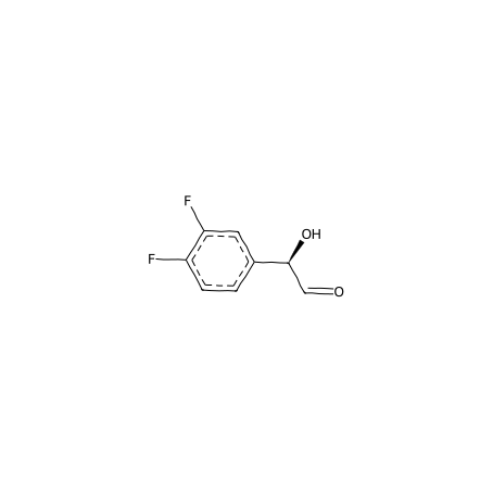 O=C[C@H](O)c1ccc(F)c(F)c1